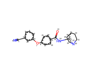 N#Cc1cccc(Oc2ccc(C(=O)NC3CC4CCN(CC4)C3)cc2)c1